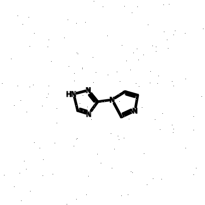 c1cn(-c2nc[nH]n2)cn1